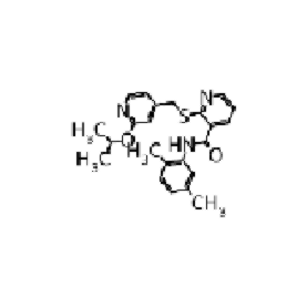 Cc1ccc(C)c(NC(=O)c2cccnc2SCc2ccnc(OC(C)C)c2)c1